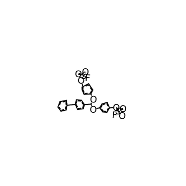 O=S(=O)(F)Oc1ccc(OC(Oc2ccc(OS(=O)(=O)F)cc2)c2ccc(-c3ccccc3)cc2)cc1